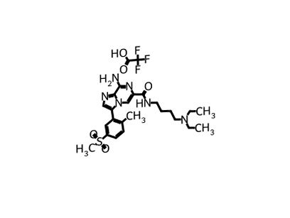 CCN(CC)CCCCNC(=O)c1cn2c(-c3cc(S(C)(=O)=O)ccc3C)cnc2c(N)n1.O=C(O)C(F)(F)F